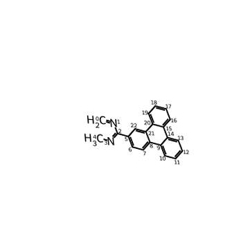 C=N/C(=N\C)c1ccc2c3ccccc3c3ccccc3c2c1